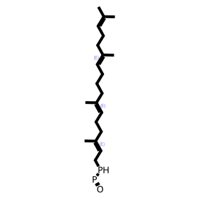 CC(C)=CCC/C(C)=C/CCC/C(C)=C/CC/C(C)=C/CPP=O